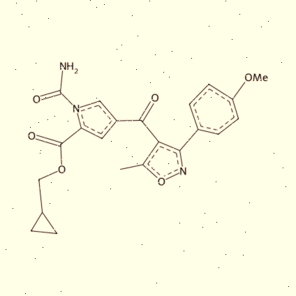 COc1ccc(-c2noc(C)c2C(=O)c2cc(C(=O)OCC3CC3)n(C(N)=O)c2)cc1